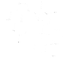 COc1cccc(C(OCC2CC(O)C(C(C)=O)N2N2CNc3c2nc(NC(=O)C(C)C)[nH]c3=O)(c2ccccc2)c2ccccc2)c1OC